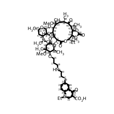 CC[C@@H]1OC(=O)[C@H](C)[C@H](O[C@@H]2C[C@](C)(OC)[C@H](OCCCNCCSc3ccc4c(c3)c(=O)c(C(=O)O)cn4CC)[C@H](C)O2)[C@@H](C)[C@H](O[C@H]2O[C@@H](C)C[C@@H](N(C)C)[C@H]2O)[C@](C)(OC)C[C@H](C)C(=O)[C@H](C)[C@H]2OC(=O)O[C@@]12C